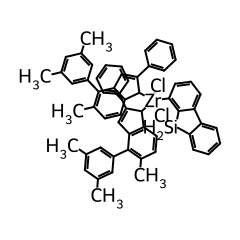 Cc1cc(C)cc(-c2c(C)ccc3c2C=C(c2ccccc2)[CH]3[Zr]([Cl])([Cl])([c]2cccc3c2[SiH2]c2ccccc2-3)[CH]2C(c3ccccc3)=Cc3c2ccc(C)c3-c2cc(C)cc(C)c2)c1